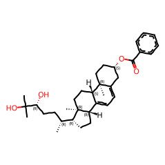 C[C@H](CC[C@@H](O)C(C)(C)O)[C@H]1CC[C@H]2C3=CC=C4C[C@@H](OC(=O)c5ccccc5)CC[C@]4(C)[C@H]3CC[C@]12C